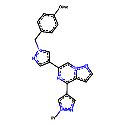 COc1ccc(Cn2cc(-c3cn4nccc4c(-c4cnn(C(C)C)c4)n3)cn2)cc1